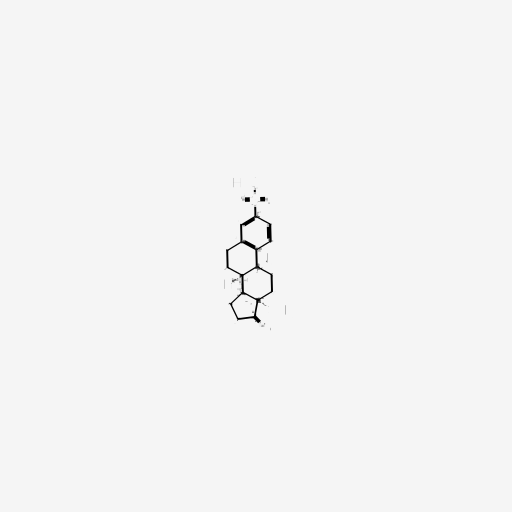 C[C@]12CC[C@@H]3c4ccc(S(C)(=O)=O)cc4CC[C@H]3[C@@H]1CCC2=O